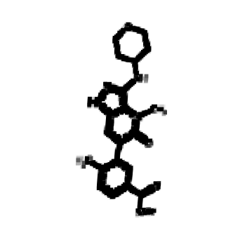 CNC(=O)c1ccc(C)c(-c2cc3[nH]nc(NC4CCOCC4)c3n(C)c2=O)c1